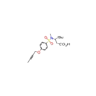 CC#CCOc1ccc(S(=O)(=O)N(C)C(CC(=O)O)C(C)(C)C)cc1